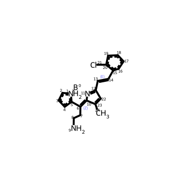 Bn1cccc1/C(CCN)=C1N=C(/C=C/c2ccccc2Cl)C=C\1C